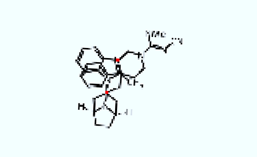 CN/C(=N\C#N)N1CCC(CCN2[C@@H]3CC[C@H]2C[C@@H](n2c(C)nc4ccccc42)C3)(c2ccccc2)CC1